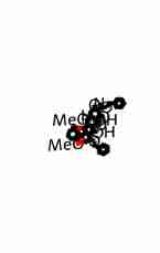 COc1cc(OCc2ccccc2)c2c(O)c3c(c4c2c1C1(C4)C(C)(C)CCCC1(C)C)[C@H](OC)[C@H]1Cc2onc(OCc4ccccc4)c2C(=O)[C@@]1(O)C3=O